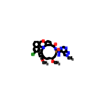 CO[C@H]1/C=C/[C@H](OC)CC[S@@](=O)(Nc2ncnc3nn(C)cc23)=NC(=O)c2ccc3c(c2)N(C[C@@H]2CC[C@H]21)C[C@@]1(CCCc2cc(Cl)ccc21)CO3